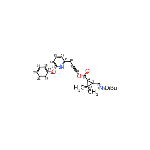 CC(C)CO/N=C/C1C(C(=O)OC#CCc2cccc(Oc3ccccc3)n2)C1(C)C